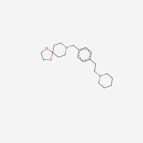 c1cc(CN2CCC3(CC2)OCCO3)ccc1CCN1CCCCC1